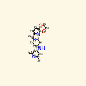 Cc1cc(NC2CCN(C(C)c3ccc4c(n3)OCCO4)CC2)cc(C)n1